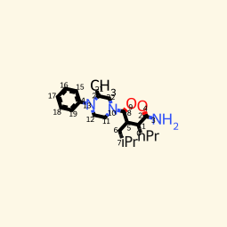 CCCC(C(N)=O)C(CC(C)C)C(=O)N1CCN(c2ccccc2)C(C)C1